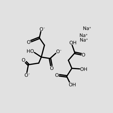 O=C(O)CC(O)C(=O)O.O=C([O-])CC(O)(CC(=O)[O-])C(=O)[O-].[Na+].[Na+].[Na+]